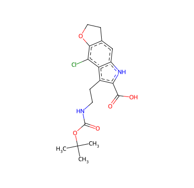 CC(C)(C)OC(=O)NCCc1c(C(=O)O)[nH]c2cc3c(c(Cl)c12)OCC3